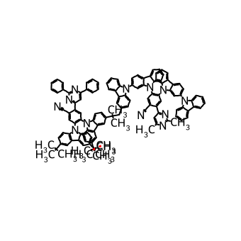 Cc1cc(-c2cc(-n3c4ccccc4c4ccc(-n5c6ccccc6c6ccccc65)cc43)c(-n3c4ccccc4c4ccc(-n5c6ccccc6c6cc(CC(C)(C)c7ccc8c(c7)c7cc(C(C)(C)C)ccc7n8-c7cc(-c8cc(-c9ccccc9)nc(-c9ccccc9)n8)c(C#N)cc7-n7c8ccc(C(C)(C)C)cc8c8cc(C(C)(C)C)ccc87)ccc65)cc43)cc2C#N)nc(C)n1